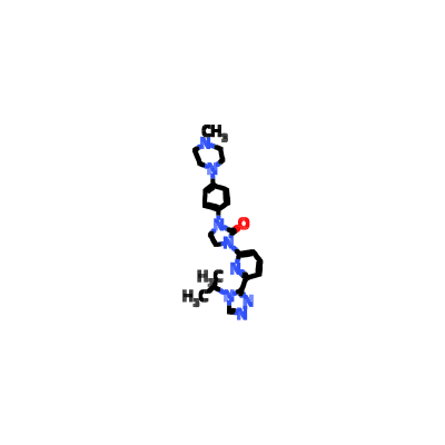 CC(C)n1cnnc1-c1cccc(N2CCN(c3ccc(N4CCN(C)CC4)cc3)C2=O)n1